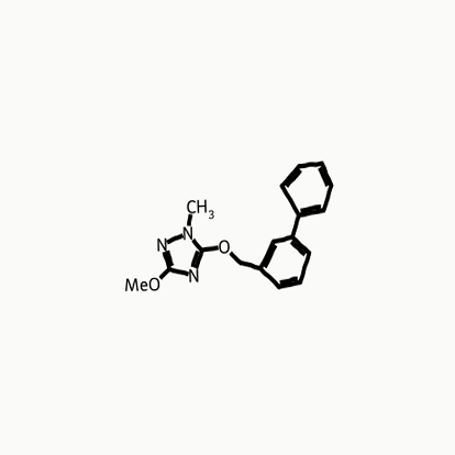 COc1nc(OCc2cccc(-c3ccccc3)c2)n(C)n1